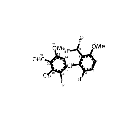 COc1ccc(F)c(Cl)c1C(F)F.COc1ccc(F)c(Cl)c1C=O